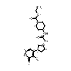 CCOC(=O)N1CCC(NC(=O)O[C@@H]2CCN(c3cn[nH]c(=O)c3Cl)C2)CC1